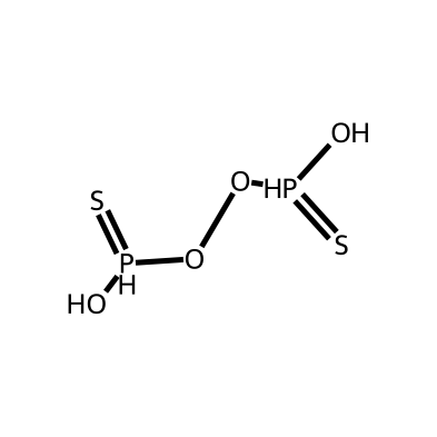 O[PH](=S)OO[PH](O)=S